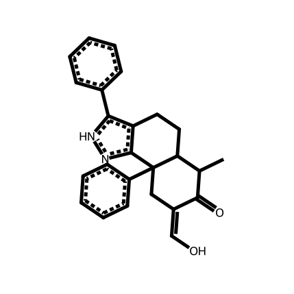 CC1C(=O)C(=CO)CC2(c3ccccc3)c3n[nH]c(-c4ccccc4)c3CCC12